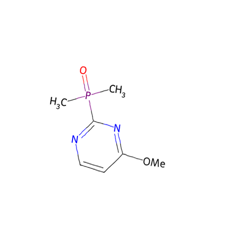 COc1ccnc(P(C)(C)=O)n1